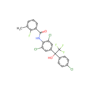 Cc1cccc(C(=O)Nc2c(Cl)cc(C(O)(c3ccc(Cl)cc3)C(F)(F)F)cc2Cl)c1F